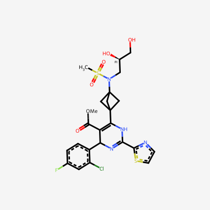 COC(=O)C1=C(C23CC(N(C[C@@H](O)CO)S(C)(=O)=O)(C2)C3)NC(c2nccs2)=NC1c1ccc(F)cc1Cl